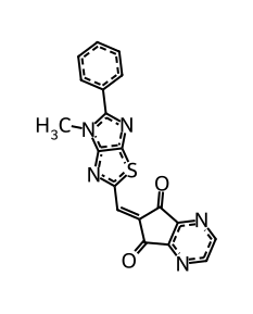 Cn1c(-c2ccccc2)nc2sc(C=C3C(=O)c4nccnc4C3=O)nc21